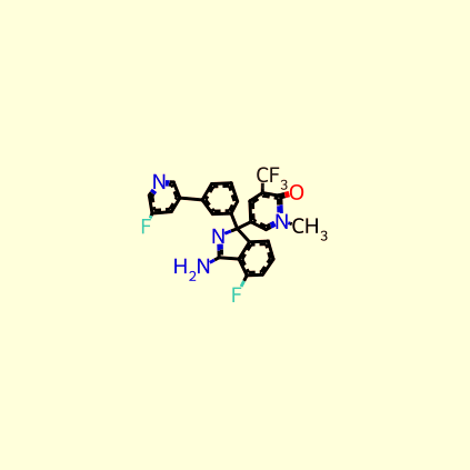 Cn1cc(C2(c3cccc(-c4cncc(F)c4)c3)N=C(N)c3c(F)cccc32)cc(C(F)(F)F)c1=O